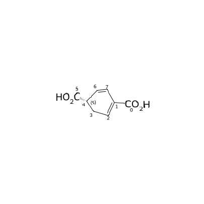 O=C(O)C1=CC[C@H](C(=O)O)C=C1